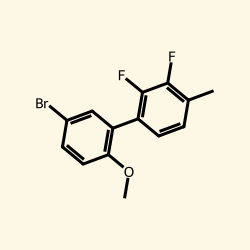 COc1ccc(Br)cc1-c1ccc(C)c(F)c1F